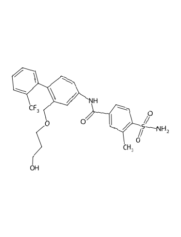 Cc1cc(C(=O)Nc2ccc(-c3ccccc3C(F)(F)F)c(COCCCO)c2)ccc1S(N)(=O)=O